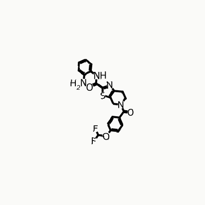 Nc1ccccc1NC(=O)c1nc2c(s1)CN(C(=O)c1ccc(OC(F)F)cc1)CC2